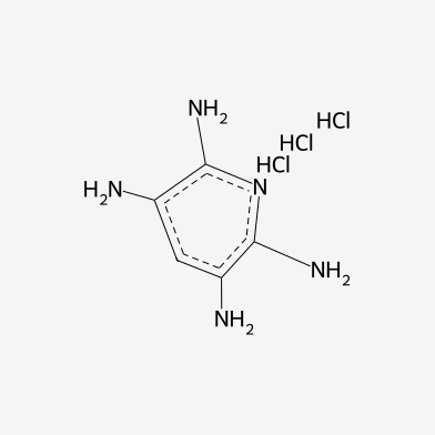 Cl.Cl.Cl.Nc1cc(N)c(N)nc1N